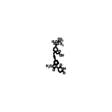 Cn1c(=O)n(C2CCC(=O)NC2=O)c2ccc(C#CCC3(CC(=O)O)CCN(C(=O)OC(C)(C)C)CC3)cc21